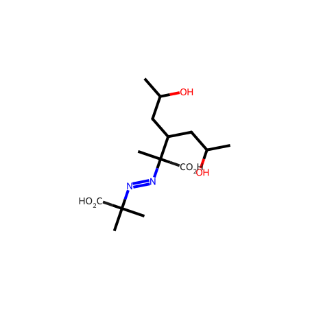 CC(O)CC(CC(C)O)C(C)(N=NC(C)(C)C(=O)O)C(=O)O